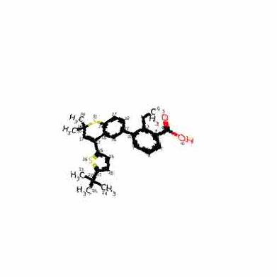 CCc1c(C(=O)O)cccc1-c1ccc2c(c1)C(c1ccc(C(C)(C)C)s1)=CC(C)(C)S2